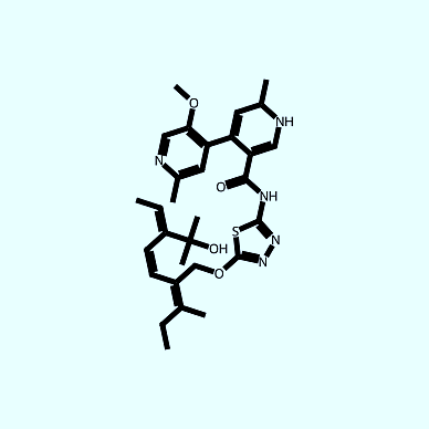 C\C=C(/C=C\C(COc1nnc(NC(=O)C2=CNC(C)C=C2c2cc(C)ncc2OC)s1)=C(\C)CC)C(C)(C)O